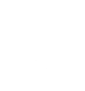 C=CCC(=C)O[PH](=O)Oc1cccc2cc3ccccc3cc12